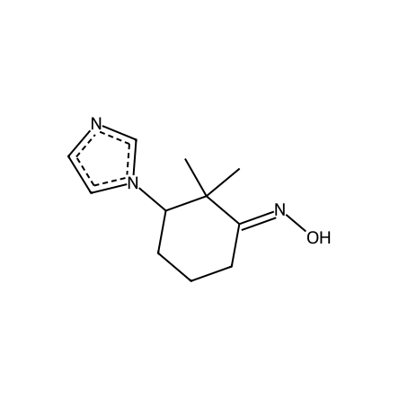 CC1(C)C(=NO)CCCC1n1ccnc1